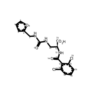 O=C(NCc1ccco1)NC[C@H](NC(=O)c1c(Cl)cccc1Cl)C(=O)O